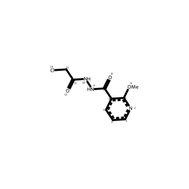 COc1ncccc1C(=O)NNC(=O)CCl